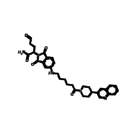 NC(=O)C(CCC=O)N1C(=O)c2ccc(NCCCCCC(=O)N3CCC(c4cnc5ccccc5c4)CC3)cc2C1=O